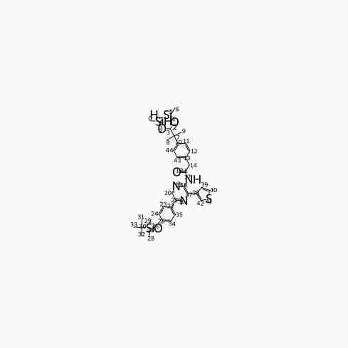 C[SiH2]OC(O[SiH2]C)C(C)(C)c1ccc(CC(=O)Nc2ncc(-c3ccc(O[Si](C)(C)C(C)(C)C)cc3)nc2-c2ccsc2)cc1